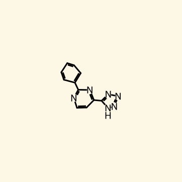 c1ccc(-c2nccc(-c3nnn[nH]3)n2)cc1